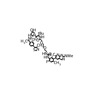 CNc1ncc2cc(-c3cc(NC(=O)NCCOCCOCC(=O)N[C@@H](C(=O)N4C[C@H](O)C[C@H]4C(=O)N[C@@H](C)c4ccc(-c5scnc5C)cc4)C(C)(C)C)c(F)cc3C)c(C)nc2n1